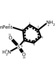 CCCCCc1cc(N)ccc1S(N)(=O)=O